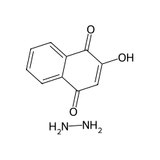 NN.O=C1C=C(O)C(=O)c2ccccc21